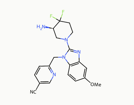 COc1ccc2c(c1)nc(N1CCC(F)(F)[C@H](N)C1)n2Cc1ccc(C#N)cn1